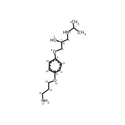 CC(C)NC[C@H](O)COc1ccc(OCCCN)cc1